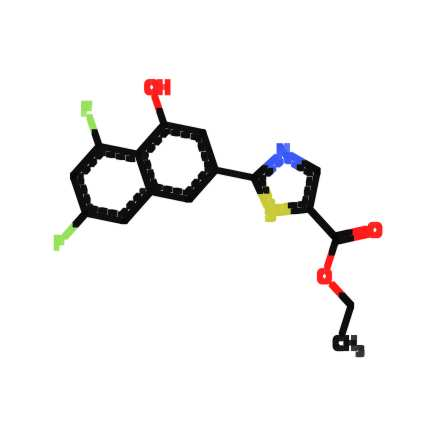 CCOC(=O)c1cnc(-c2cc(O)c3c(F)cc(F)cc3c2)s1